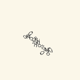 [2H]/C(=C(/[2H])c1ccc2cc(N(c3ccccc3)c3ccccc3)ccc2c1)c1ccc2c(c1)C(C)(C)c1cc3c(cc1-2)c(-c1ccccc1)c(-c1ccccc1)n3-c1ccccc1